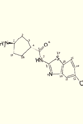 N[C@H]1CC[C@H](C(=O)Nc2nc3cc(Cl)ccc3s2)CC1